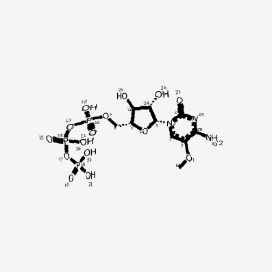 COc1cn([C@@H]2O[C@H](COP(=O)(O)OP(=O)(O)OP(=O)(O)O)C(O)[C@@H]2O)c(=O)nc1N